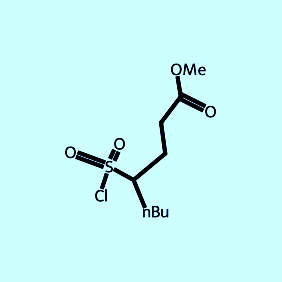 CCCCC(CCC(=O)OC)S(=O)(=O)Cl